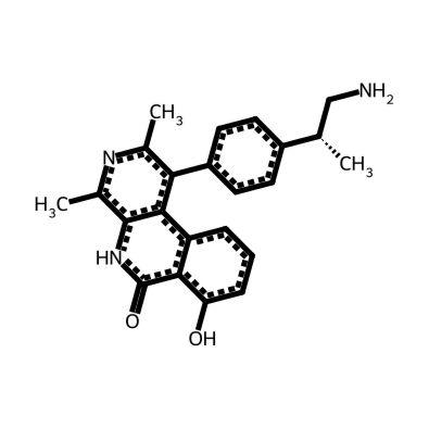 Cc1nc(C)c2[nH]c(=O)c3c(O)cccc3c2c1-c1ccc([C@@H](C)CN)cc1